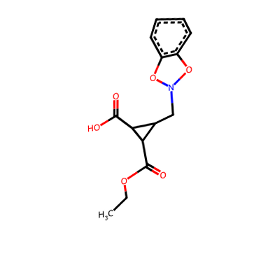 CCOC(=O)C1C(CN2Oc3ccccc3O2)C1C(=O)O